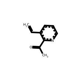 C=Cc1cccnc1C(C)=O